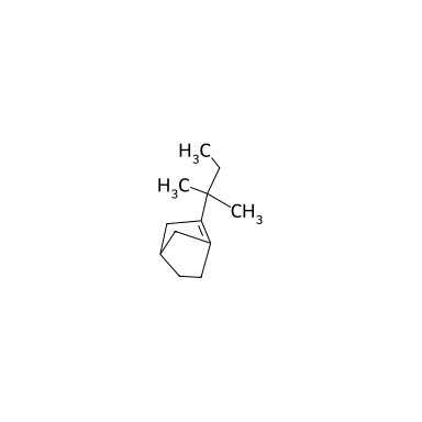 CCC(C)(C)C1=C2CCC(C2)C1